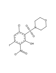 O=[N+]([O-])c1c(I)cc(Cl)c(S(=O)(=O)N2CCOCC2)c1O